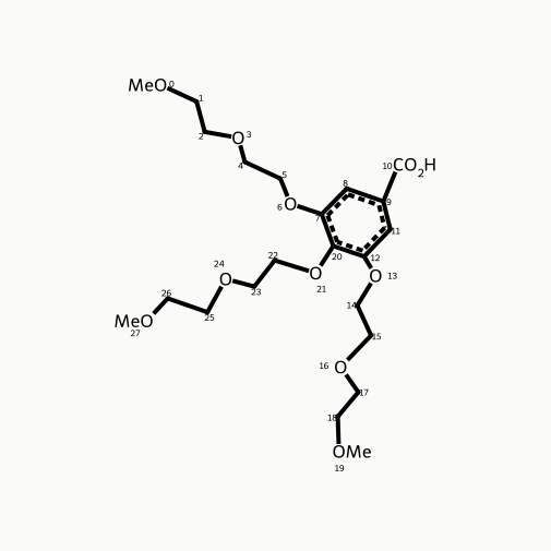 COCCOCCOc1cc(C(=O)O)cc(OCCOCCOC)c1OCCOCCOC